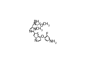 BN(CCOC)Cc1cnc(-c2cc3nccc(Oc4ccc(N)cc4F)c3s2)n1C